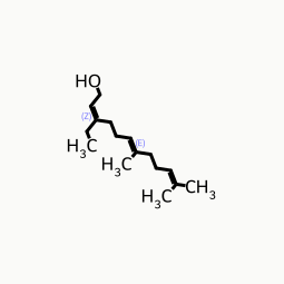 CC/C(=C/CO)CC/C=C(\C)CCC=C(C)C